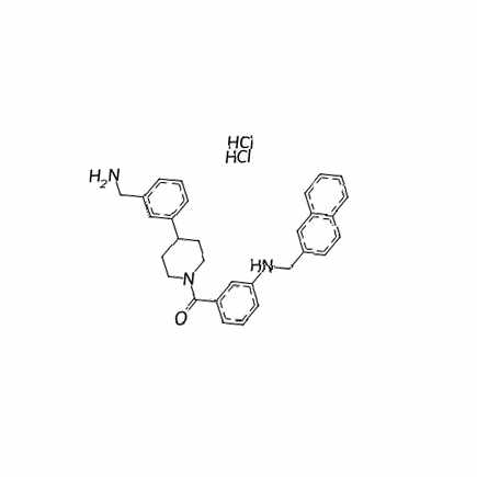 Cl.Cl.NCc1cccc(C2CCN(C(=O)c3cccc(NCc4ccc5ccccc5c4)c3)CC2)c1